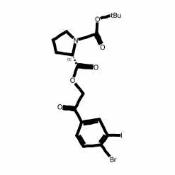 CC(C)(C)OC(=O)N1CCC[C@H]1C(=O)OCC(=O)c1ccc(Br)c(I)c1